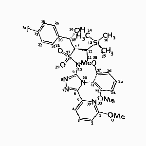 COc1cccc(-c2nnc(N3CC([Si](C)(C)C)[C@H]([C@@H](O)c4ccc(F)cc4)S3(=O)=O)n2-c2c(OC)cccc2OC)n1